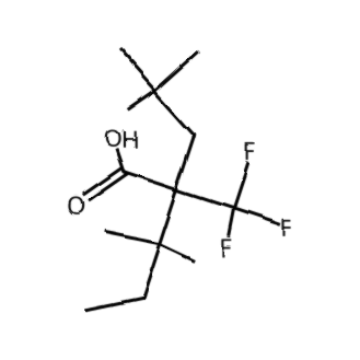 CCC(C)(C)C(CC(C)(C)C)(C(=O)O)C(F)(F)F